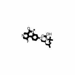 CC(C)C[C@@H](COc1ccc2c3c(F)cncc3c(=O)n(C)c2c1)N(C(=O)O)C(C)(C)C